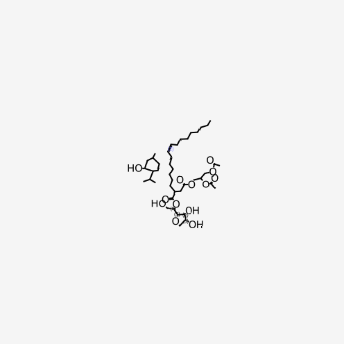 CC1CCC(C(C)C)C(O)C1.CCCCCCCC/C=C\CCCCCCC(CC(=O)OCC(COC(C)=O)OC(C)=O)C(=O)O[C@H](CO)[C@H]1OC[C@H](O)[C@H]1O